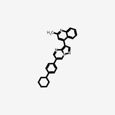 Cc1cc(-c2cnn3cc(-c4ccc(C5CCCCC5)cc4)cnc23)c2ccccc2n1